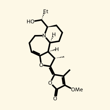 CC[C@@H](O)[C@H]1CCC[C@H]2[C@@H]3C(=CCCN12)O/C(=C1\OC(=O)C(OC)=C1C)[C@H]3C